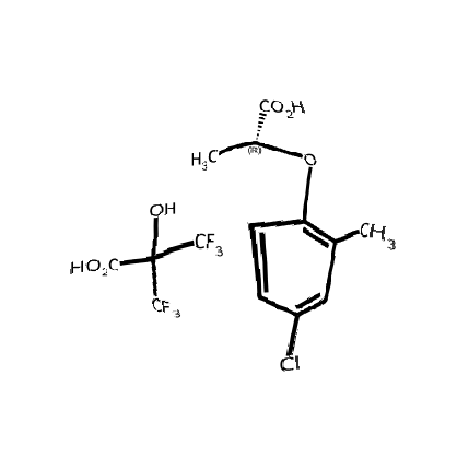 Cc1cc(Cl)ccc1O[C@H](C)C(=O)O.O=C(O)C(O)(C(F)(F)F)C(F)(F)F